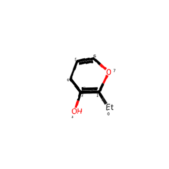 CCC1=C(O)CC=CO1